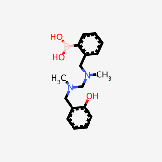 CN(Cc1ccccc1O)CN(C)Cc1ccccc1B(O)O